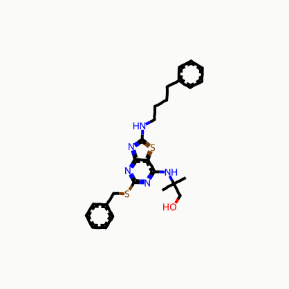 CC(C)(CO)Nc1nc(SCc2ccccc2)nc2nc(NCCCCc3ccccc3)sc12